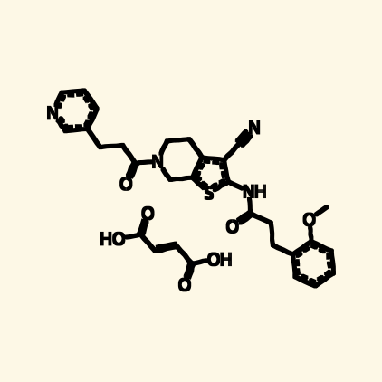 COc1ccccc1CCC(=O)Nc1sc2c(c1C#N)CCN(C(=O)CCc1cccnc1)C2.O=C(O)C=CC(=O)O